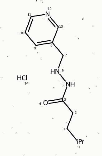 CC(C)CCC(=O)NNCc1cccnc1.Cl